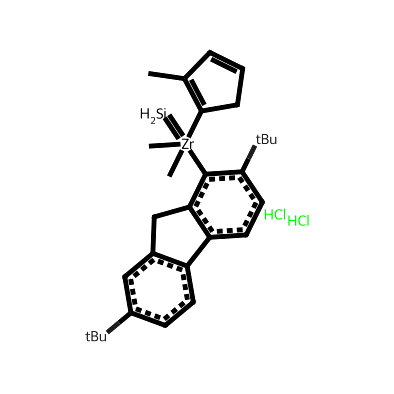 CC1=[C]([Zr]([CH3])([CH3])(=[SiH2])[c]2c(C(C)(C)C)ccc3c2Cc2cc(C(C)(C)C)ccc2-3)CC=C1.Cl.Cl